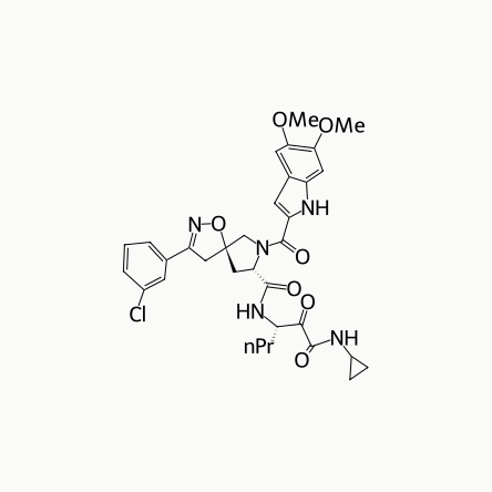 CCC[C@H](NC(=O)[C@@H]1C[C@]2(CC(c3cccc(Cl)c3)=NO2)CN1C(=O)c1cc2cc(OC)c(OC)cc2[nH]1)C(=O)C(=O)NC1CC1